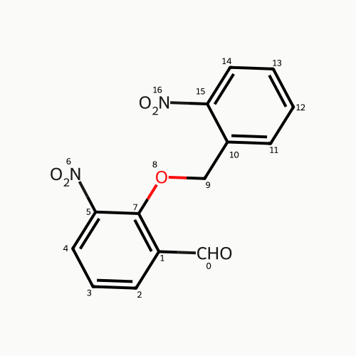 O=Cc1cccc([N+](=O)[O-])c1OCc1ccccc1[N+](=O)[O-]